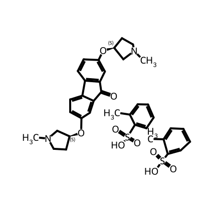 CN1CC[C@H](Oc2ccc3c(c2)C(=O)c2cc(O[C@H]4CCN(C)C4)ccc2-3)C1.Cc1ccccc1S(=O)(=O)O.Cc1ccccc1S(=O)(=O)O